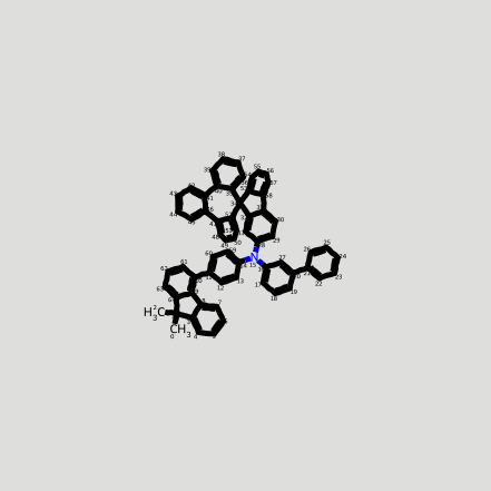 CC1(C)c2ccccc2-c2c(-c3ccc(N(c4cccc(-c5ccccc5)c4)c4ccc5c(c4)C4(c6ccccc6-c6ccccc6-c6ccccc64)c4ccccc4-5)cc3)cccc21